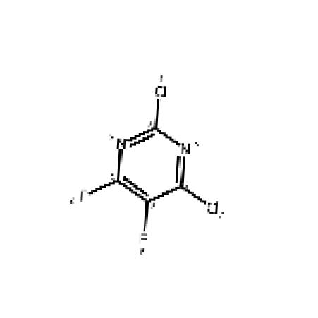 Fc1nc(Cl)nc(Cl)c1F